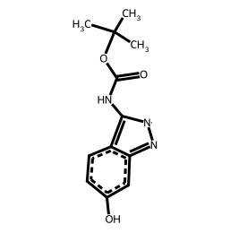 CC(C)(C)OC(=O)NC1=c2ccc(O)cc2=N[N]1